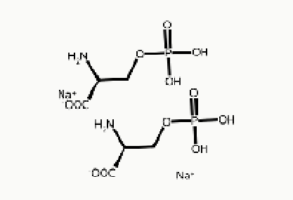 N[C@@H](COP(=O)(O)O)C(=O)[O-].N[C@@H](COP(=O)(O)O)C(=O)[O-].[Na+].[Na+]